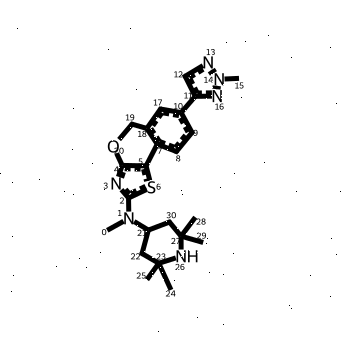 CN(c1nc2c(s1)-c1ccc(-c3cnn(C)n3)cc1CO2)C1CC(C)(C)NC(C)(C)C1